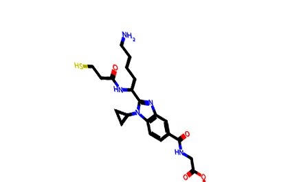 COC(=O)CNC(=O)c1ccc2c(c1)nc(C(CCCCN)NC(=O)CCS)n2C1CC1